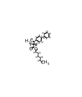 C=C(c1ccc(-c2ccccc2)cc1)C(F)(F)C(=O)OCCCCCC